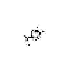 CO[C@@H](C)C(=O)O[C@H](C)C(C)=O